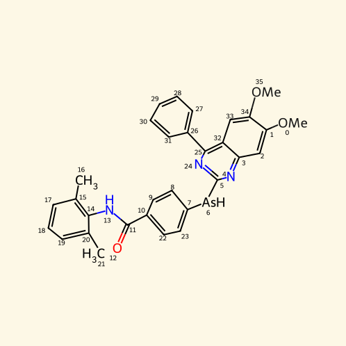 COc1cc2nc([AsH]c3ccc(C(=O)Nc4c(C)cccc4C)cc3)nc(-c3ccccc3)c2cc1OC